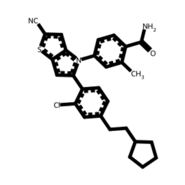 Cc1cc(-n2c(-c3ccc(CCC4CCCC4)cc3Cl)cc3sc(C#N)cc32)ccc1C(N)=O